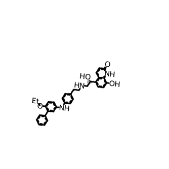 CCOc1ccc(Nc2ccc(CCNC[C@H](O)c3ccc(O)c4[nH]c(=O)ccc34)cc2)cc1-c1ccccc1